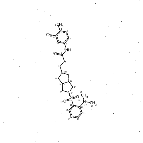 Cc1ccc(NC(=O)CCN2CC3CN(S(=O)(=O)c4cnccc4N(C)C)CC3C2)cc1Cl